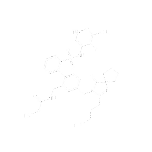 CCCCC1=NC2(CCCC2)C(=O)N1Cc1ccc(-c2ccccc2S(=O)(=O)NC2=CNOC(C)=C2C)c(CNC(=O)OC)c1